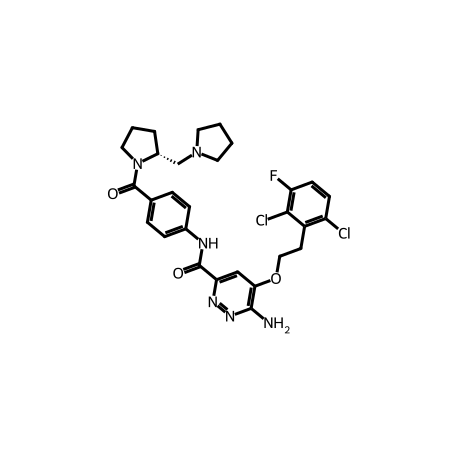 Nc1nnc(C(=O)Nc2ccc(C(=O)N3CCC[C@@H]3CN3CCCC3)cc2)cc1OCCc1c(Cl)ccc(F)c1Cl